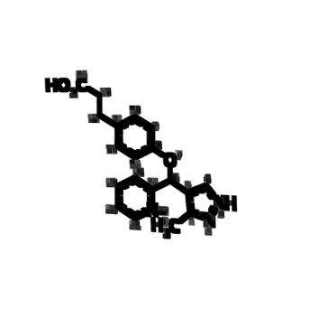 Cc1n[nH]cc1C(Oc1ccc(CCC(=O)O)cc1)c1ccccn1